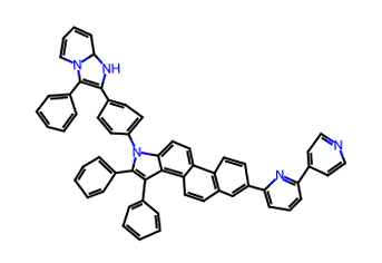 C1=CC2NC(c3ccc(-n4c(-c5ccccc5)c(-c5ccccc5)c5c6ccc7cc(-c8cccc(-c9ccncc9)n8)ccc7c6ccc54)cc3)=C(c3ccccc3)N2C=C1